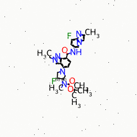 CCn1cc2c(N3C[C@@H](N(C)C(=O)OC(C)(C)C)[C@@H](F)C3)ccc(C(=O)Nc3cc(F)c4nc(C)cn4c3)c2n1